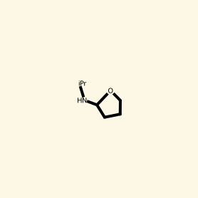 CC(C)NC1CCCO1